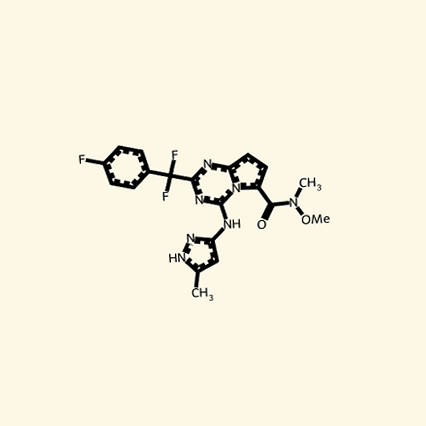 CON(C)C(=O)c1ccc2nc(C(F)(F)c3ccc(F)cc3)nc(Nc3cc(C)[nH]n3)n12